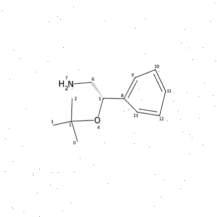 CC(C)(C)O[C@H](CN)c1ccccc1